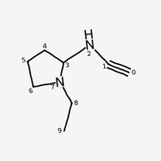 C#CNC1CCCN1CC